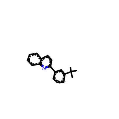 CC(C)(C)c1[c]ccc(-c2ccc3ccccc3n2)c1